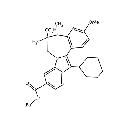 COc1ccc2c(c1)C(C)C(C)(C(=O)O)Cn1c-2c(C2CCCCC2)c2ccc(C(=O)OC(C)(C)C)cc21